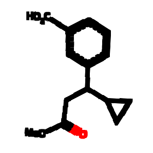 COC(=O)CC(c1cccc(C(=O)O)c1)C1CC1